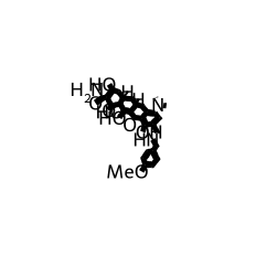 COc1ccc(CNCc2cc(N(C)C)c3c(c2O)C(=O)C2=C(O)[C@]4(O)C(=O)C(C(N)=O)=C(O)C[C@@H]4C[C@@H]2C3)cc1